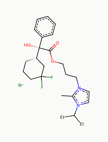 CCC(CC)[n+]1ccn(CCCOC(=O)[C@](O)(c2ccccc2)[C@H]2CCCC(F)(F)C2)c1C.[Br-]